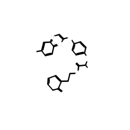 CC(Oc1ccc(Oc2cnc3cc(Cl)ccc3n2)cc1)C(=O)OCCC1=CC=CCC1=S